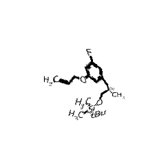 C=CCOc1cc(F)cc(C[C@H](C)CO[Si](C)(C)C(C)(C)C)c1